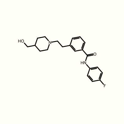 O=C(Nc1ccc(F)cc1)c1cccc(CCN2CCC(CO)CC2)c1